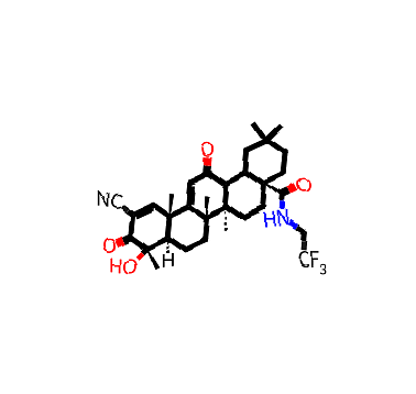 CC1(C)CC[C@]2(C(=O)NCC(F)(F)F)CC[C@]3(C)C(C(=O)C=C4[C@@]5(C)C=C(C#N)C(=O)[C@@](C)(O)[C@@H]5CC[C@]43C)C2C1